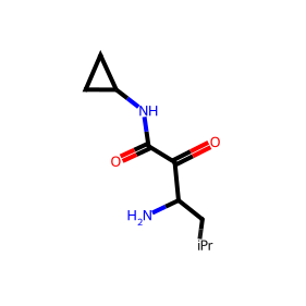 CC(C)CC(N)C(=O)C(=O)NC1CC1